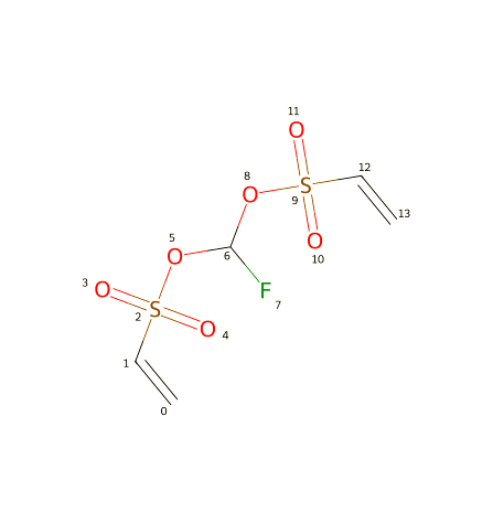 C=CS(=O)(=O)OC(F)OS(=O)(=O)C=C